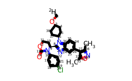 [2H]CO[C@H]1CC[C@H](n2c([C@@H]3CCOC(=O)N3c3ccc(Cl)cc3)nc3cc(-c4c(C)noc4C)ccc32)CC1